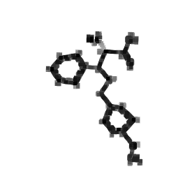 COc1ccc(CSC(c2ccccc2)[C@H](C)C(=O)O)cc1